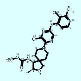 C[C@@H]1OCC2(CCN(c3ncc(Sc4ccnc(N)c4Cl)nc3Cl)CC2)[C@@H]1NC(=O)OC(C)(C)C